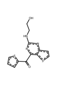 O=C(c1cccs1)c1nc(NCCO)nc2ccsc12